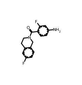 Nc1ccc(C(=O)N2CCc3cc(F)ccc3C2)c(F)c1